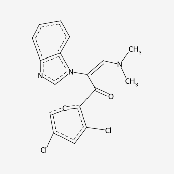 CN(C)C=C(C(=O)c1ccc(Cl)cc1Cl)n1cnc2ccccc21